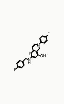 Oc1cc(NCc2ccc(F)cc2)nc2c1CN(c1ccc(F)cc1)C=C2